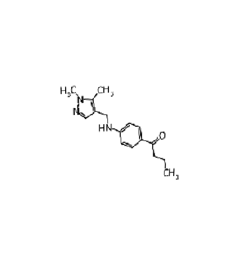 CCCC(=O)c1ccc(NCc2cnn(C)c2C)cc1